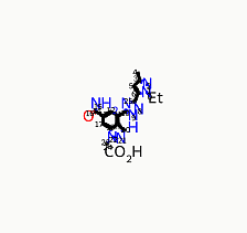 CCn1nc(C)cc1-c1n[nH]c(-c2cc(C(N)=O)cc3c2cnn3CC(=O)O)n1